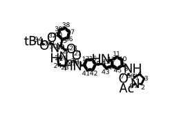 CC(=O)N1CCC[C@H]1C(=O)Nc1ccc2[nH]c(-c3ccc(NC(=O)[C@@H]4CCCN4C(=O)[C@H](NC(=O)OC(C)(C)C)c4ccccc4)cc3)cc2c1